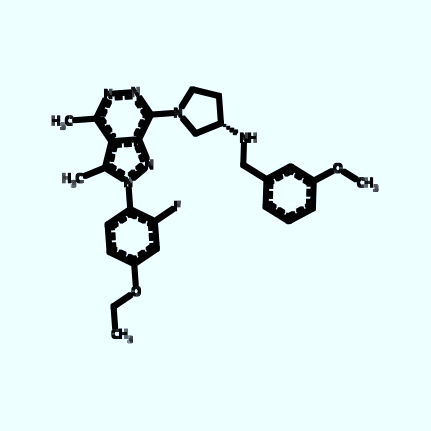 CCOc1ccc(-n2nc3c(N4CC[C@H](NCc5cccc(OC)c5)C4)nnc(C)c3c2C)c(F)c1